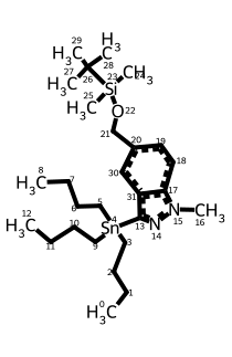 CCC[CH2][Sn]([CH2]CCC)([CH2]CCC)[c]1nn(C)c2ccc(CO[Si](C)(C)C(C)(C)C)cc12